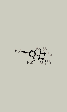 CC#Cc1cc(F)c(C2C(=O)C(C)(C)OC(C)(C)C2=O)c(OC)c1